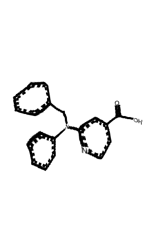 O=C(O)c1ccnc(N(Cc2ccccc2)c2ccccc2)c1